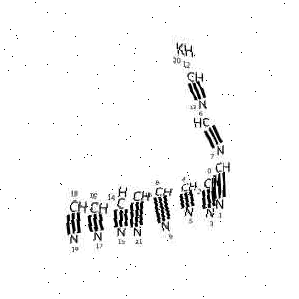 C#N.C#N.C#N.C#N.C#N.C#N.C#N.C#N.C#N.C#N.[KH]